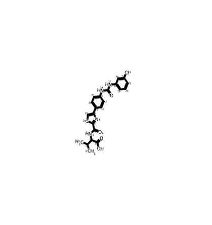 CC(C)C(NC(=O)c1nc(-c2ccc(NC(=O)Nc3cccc(Cl)c3)cc2)cs1)C(=O)O